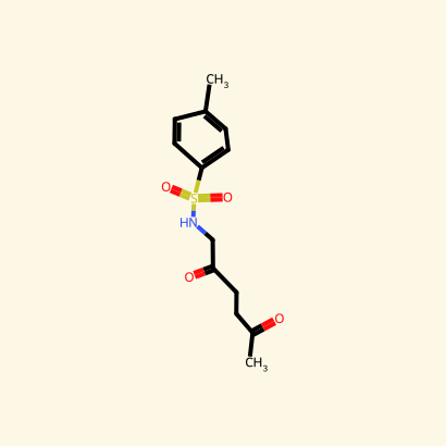 CC(=O)CCC(=O)CNS(=O)(=O)c1ccc(C)cc1